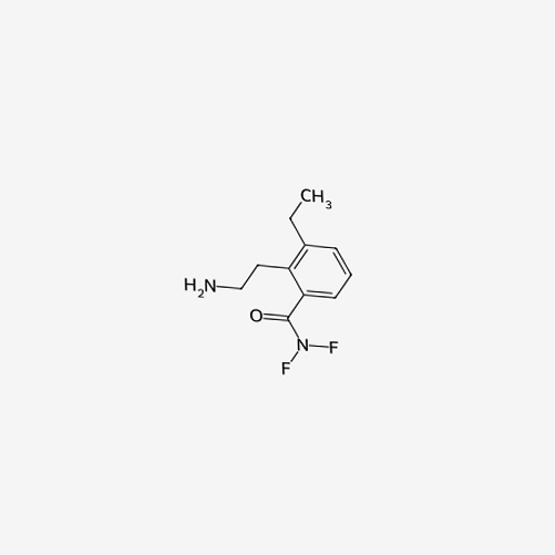 CCc1cccc(C(=O)N(F)F)c1CCN